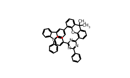 CC1(C)c2cccc(-c3ccc4c(c3)c3ccccc3n4-c3ccccc3)c2Oc2c(-c3nc(-c4ccccc4)nc(-c4ccccc4)n3)cccc21